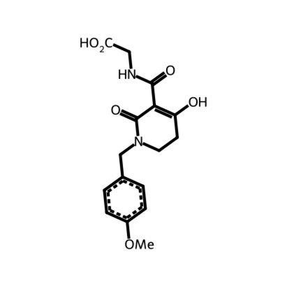 COc1ccc(CN2CCC(O)=C(C(=O)NCC(=O)O)C2=O)cc1